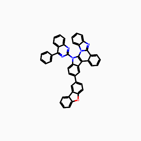 c1ccc(-c2nc(-n3c4ccc(-c5ccc6oc7ccccc7c6c5)cc4c4c5ccccc5c5nc6ccccc6n5c43)nc3ccccc23)cc1